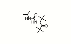 CC(C)NC(=O)NC(C(=O)C(C)(C)C)C(C)(C)C